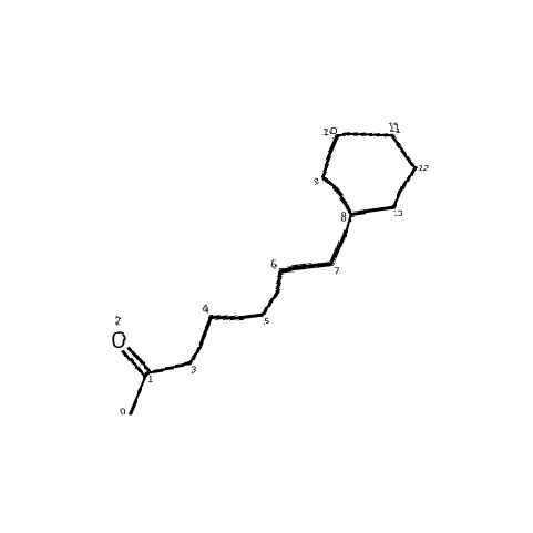 CC(=O)CCCCC[C]1CCCCC1